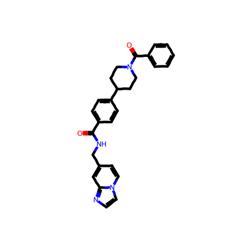 O=C(NCc1ccn2ccnc2c1)c1ccc(C2CCN(C(=O)c3ccccc3)CC2)cc1